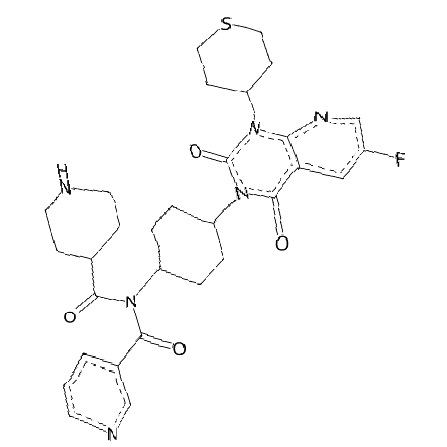 O=C(c1cccnc1)N(C(=O)C1CCNCC1)C1CCC(n2c(=O)c3cc(F)cnc3n(C3CCSCC3)c2=O)CC1